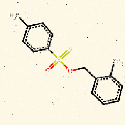 Cc1ccc(S(=O)(=S)OCc2ccccc2C)cc1